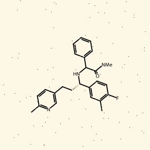 CNC(=O)C(N[C@@H](CCc1ccc(C)nc1)c1ccc(F)c(C)c1)c1ccccc1